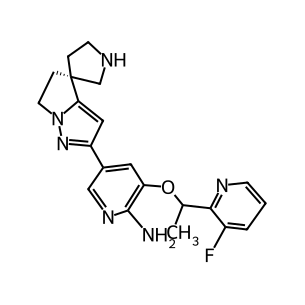 CC(Oc1cc(-c2cc3n(n2)CC[C@@]32CCNC2)cnc1N)c1ncccc1F